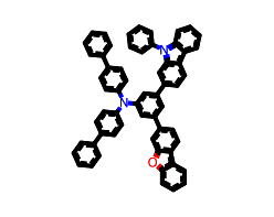 c1ccc(-c2ccc(N(c3ccc(-c4ccccc4)cc3)c3cc(-c4ccc5c(c4)oc4ccccc45)cc(-c4ccc5c6ccccc6n(-c6ccccc6)c5c4)c3)cc2)cc1